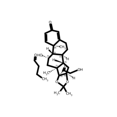 CC1(C)O[C@@H]2C[C@H]3[C@@H]4CCC5=CC(=O)C=C[C@]5(C)[C@H]4[C@@H](O)C[C@]3(C)[C@]2(C(=O)CO)O1.CCCC=O